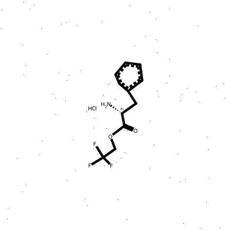 Cl.N[C@H](Cc1ccccc1)C(=O)OCC(F)(F)F